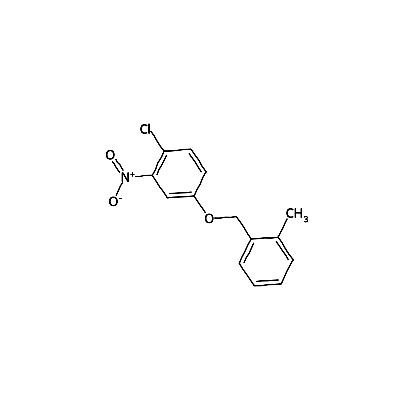 Cc1ccccc1COc1ccc(Cl)c([N+](=O)[O-])c1